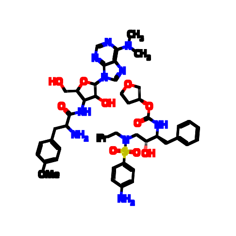 CC(C)CN(C[C@@H](O)[C@H](Cc1ccccc1)NC(=O)O[C@H]1CCOC1)S(=O)(=O)c1ccc(N)cc1.COc1ccc(CC(N)C(=O)NC2C(CO)OC(n3cnc4c(N(C)C)ncnc43)C2O)cc1